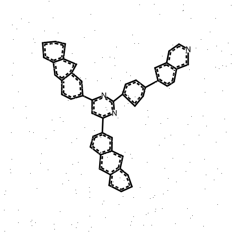 c1ccc2cc3cc(-c4cc(-c5ccc6cc7ccccc7cc6c5)nc(-c5ccc(-c6ccc7cnccc7c6)cc5)n4)ccc3cc2c1